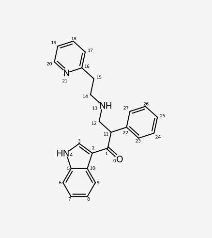 O=C(c1c[nH]c2ccccc12)C(CNCCc1ccccn1)c1ccccc1